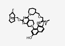 CCc1c(F)ccc2cc(O)cc(N3CCc4c(nc(OC[C@@]56CCCN5C[C@H](F)C6)nc4N4CCCCC(COCC(=O)N(C)C)C4)C3)c12